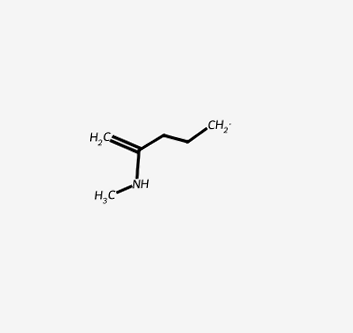 [CH2]CCC(=C)NC